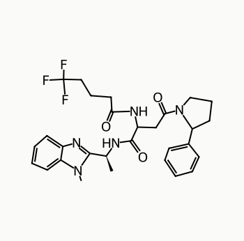 C[C@H](NC(=O)C(CC(=O)N1CCCC1c1ccccc1)NC(=O)CCCC(F)(F)F)c1nc2ccccc2n1C